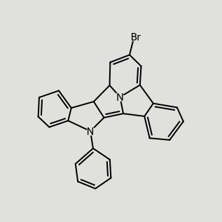 BrC1=CC2C3C(=c4c5ccccc5c(n42)=C1)N(c1ccccc1)c1ccccc13